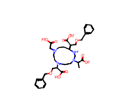 CC(C(=O)O)N1CCN(C(COCc2ccccc2)C(=O)O)CCN(CC(=O)O)CCC(C(COCc2ccccc2)C(=O)O)NC1